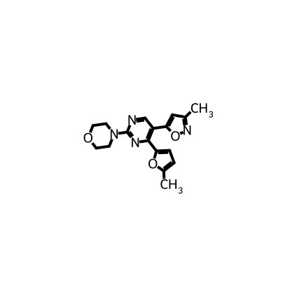 Cc1cc(-c2cnc(N3CCOCC3)nc2-c2ccc(C)o2)on1